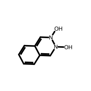 ON1C=c2ccccc2=CN1O